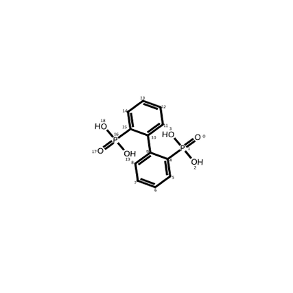 O=P(O)(O)c1ccccc1-c1ccccc1P(=O)(O)O